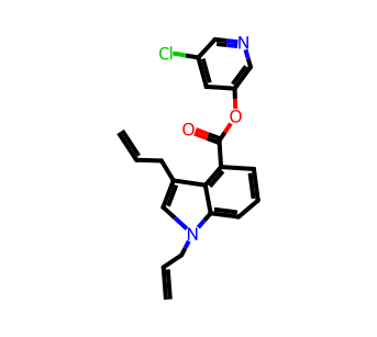 C=CCc1cn(CC=C)c2cccc(C(=O)Oc3cncc(Cl)c3)c12